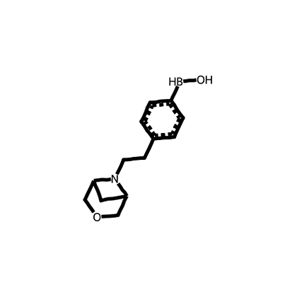 OBc1ccc(CCN2C3COCC2C3)cc1